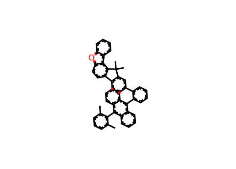 Cc1cccc(C)c1-c1c2ccccc2c(-c2ccccc2-c2ccc3c(c2)C(C)(C)c2c-3ccc3oc4ccccc4c23)c2ccccc12